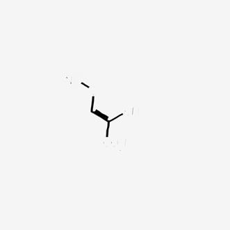 CC(=COC#N)C(=O)O